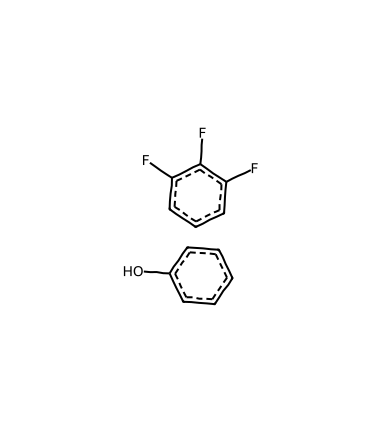 Fc1cccc(F)c1F.Oc1ccccc1